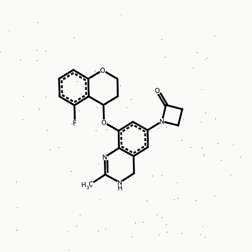 CC1=Nc2c(cc(N3CCC3=O)cc2OC2CCOc3cccc(F)c32)CN1